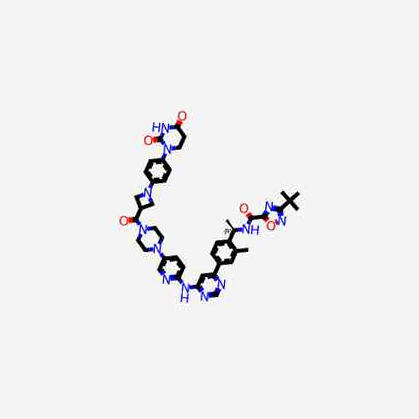 Cc1cc(-c2cc(Nc3ccc(N4CCN(C(=O)C5CN(c6ccc(N7CCC(=O)NC7=O)cc6)C5)CC4)cn3)ncn2)ccc1[C@@H](C)NC(=O)c1nc(C(C)(C)C)no1